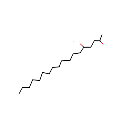 CCCCCCCCCCCCCC(O)CCC(C)O